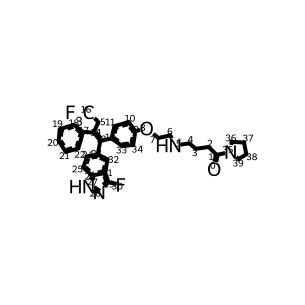 O=C(CCCNCCOc1ccc(C(=C(CC(F)(F)F)c2ccccc2)c2ccc3[nH]nc(F)c3c2)cc1)N1CCCC1